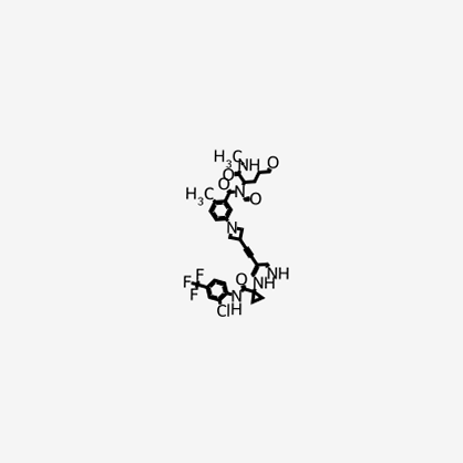 CNC(=O)C(CCC=O)N(C=O)C(=O)c1cc(N2CC(C#C/C(C=N)=C/NC3(C(=O)Nc4ccc(C(F)(F)F)cc4Cl)CC3)C2)ccc1C